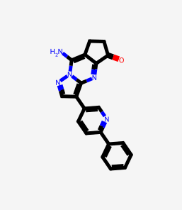 Nc1c2c(nc3c(-c4ccc(-c5ccccc5)nc4)cnn13)C(=O)CC2